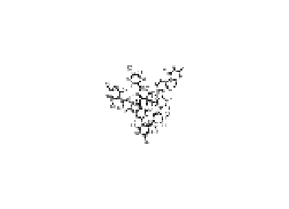 Cc1cc(C)c(-c2ccc3c(c2)c2ccc(-c4c(C)cc(C)cc4C)cc2n3-c2cc(-c3ccc(F)cc3)cc(-n3c4ccc(-c5c(C)cc(C)cc5C)cc4c4ccc(-c5c(C)cc(C)cc5C)cc43)c2C#N)c(C)c1